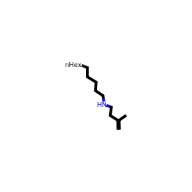 C=C(C)CCNCCCCCCCCCCC